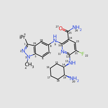 CC(C)c1nn(C)c2ccc(Nc3nc(N[C@@H]4CCCC[C@@H]4N)c(F)cc3C(N)=O)cc12